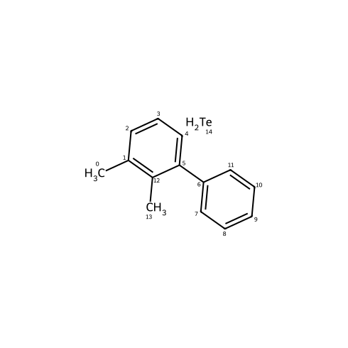 Cc1cccc(-c2ccccc2)c1C.[TeH2]